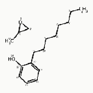 CC1CO1.CCCCCCCCc1ccccc1O